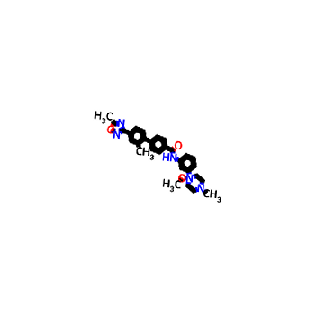 CO[N+]1(c2cccc(NC(=O)c3ccc(-c4ccc(-c5noc(C)n5)cc4C)cc3)c2)CCN(C)CC1